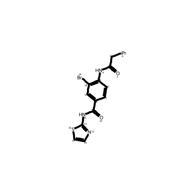 CC(C)CC(=O)Nc1ccc(C(=O)Nc2nccs2)cc1Br